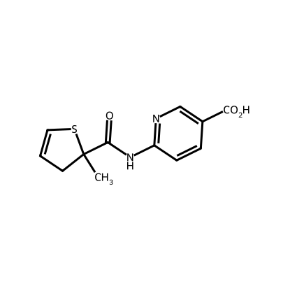 CC1(C(=O)Nc2ccc(C(=O)O)cn2)CC=CS1